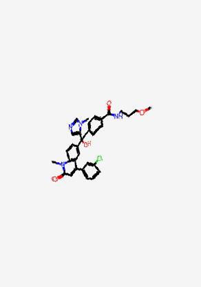 COCCCNC(=O)c1ccc(C(O)(c2ccc3c(c2)c(-c2cccc(Cl)c2)cc(=O)n3C)c2cncn2C)cc1